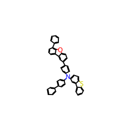 c1ccc(-c2ccc(N(c3ccc(-c4ccc5oc6c(-c7ccccc7)cccc6c5c4)cc3)c3ccc4sc5ccccc5c4c3)cc2)cc1